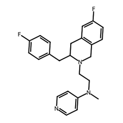 CN(CCN1Cc2ccc(F)cc2CC1Cc1ccc(F)cc1)c1ccncc1